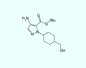 CC(C)(C)OC(=O)c1c(N)cnn1C1CCC(CO)CC1